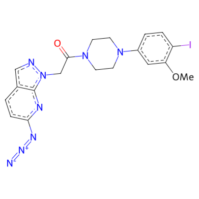 COc1cc(N2CCN(C(=O)Cn3ncc4ccc(N=[N+]=[N-])nc43)CC2)ccc1I